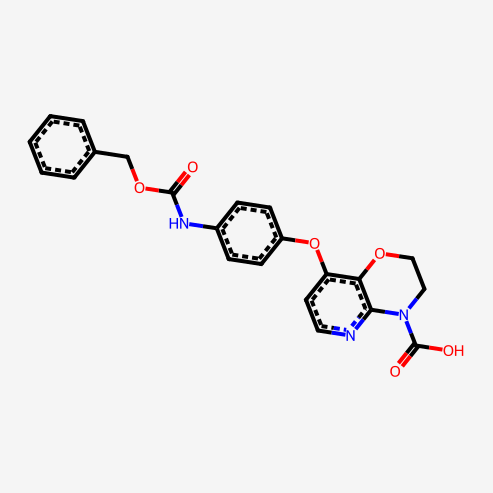 O=C(Nc1ccc(Oc2ccnc3c2OCCN3C(=O)O)cc1)OCc1ccccc1